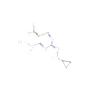 CC\C(Cl)=C/C=N\C(=N\NC1CC1)\N=C\N(C)C